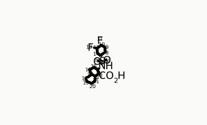 O=C(O)c1c(NS(=O)(=O)c2ccc(F)c(F)c2)ccc2ccccc12